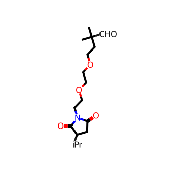 CC(C)C1CC(=O)N(CCOCCOCCC(C)(C)C=O)C1=O